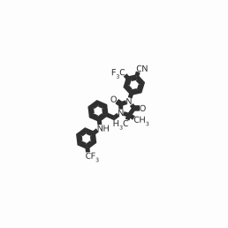 CC1(C)C(=O)N(c2ccc(C#N)c(C(F)(F)F)c2)C(=O)N1Cc1ccccc1Nc1cccc(C(F)(F)F)c1